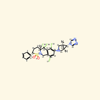 O=S1(=O)[C@H](c2ccccc2)CC[C@H]2N1Cc1c(F)cc(N3C[C@@H]4[C@H](C3)[C@H]4n3cnnc3)c(F)c1C2(F)F